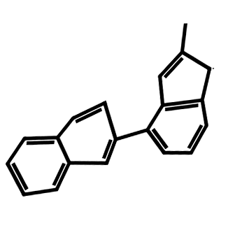 CC1=Cc2c(cccc2-c2ccc3ccccc3c2)[CH]1